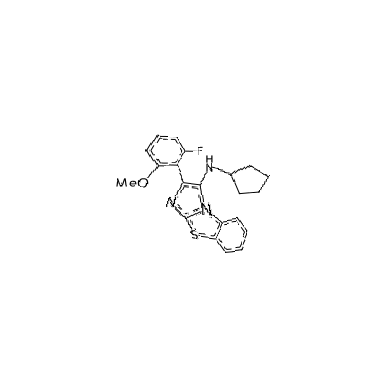 COc1cccc(F)c1-c1nc2sc3ccccc3n2c1NC1CCCC1